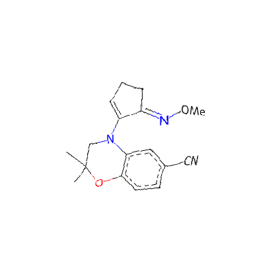 CON=C1CCC=C1N1CC(C)(C)Oc2ccc(C#N)cc21